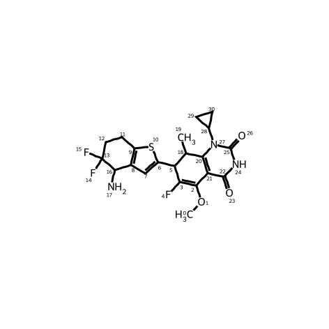 COC1=C(F)C(c2cc3c(s2)CCC(F)(F)C3N)C(C)c2c1c(=O)[nH]c(=O)n2C1CC1